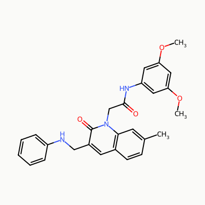 COc1cc(NC(=O)Cn2c(=O)c(CNc3ccccc3)cc3ccc(C)cc32)cc(OC)c1